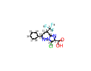 O=C(O)c1nc2c(C(F)(F)F)cc(-c3ccccc3)nn2c1Cl